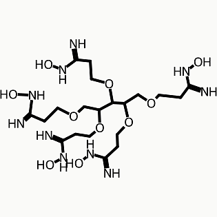 N=C(CCOCC(OCCC(=N)NO)C(OCCC(=N)NO)C(COCCC(=N)NO)OCCC(=N)NO)NO